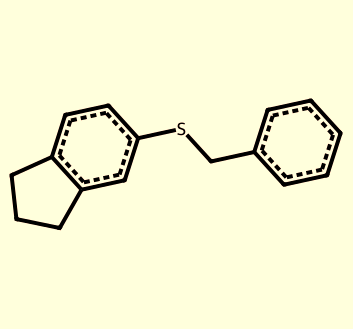 c1ccc(CSc2ccc3c(c2)CCC3)cc1